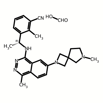 Cc1c(C#N)cccc1[C@@H](C)Nc1nnc(C)c2ccc(N3CC4(CCN(C)C4)C3)cc12.O=CO